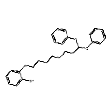 Oc1ccccc1CCCCCCCCC(Oc1ccccc1)Oc1ccccc1